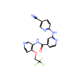 N#Cc1ccc(Nc2cc(C(=O)Nc3cnccc3OCC(F)(F)F)ccn2)nc1